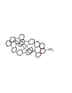 Cc1cccc(-c2ccccc2N(c2ccc3c(c2)C(c2ccccc2)(C2(c4ccccc4)c4ccccc4-c4ccc(N(c5ccccc5-c5ccccc5)c5ccccc5-c5ccccc5C)cc42)c2ccccc2-3)c2ccccc2-c2ccccc2)c1